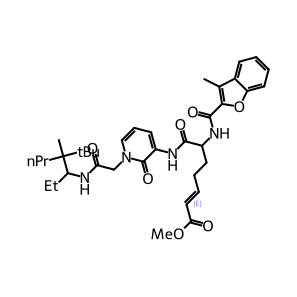 CCCC(C)(C(CC)NC(=O)Cn1cccc(NC(=O)C(CC/C=C/C(=O)OC)NC(=O)c2oc3ccccc3c2C)c1=O)C(C)(C)C